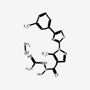 CCCN(NC(=N)N)C(=O)c1cnn(-c2nc(-c3cccc(C(F)(F)F)c3)cs2)c1C(F)(F)F.O=[N+]([O-])O